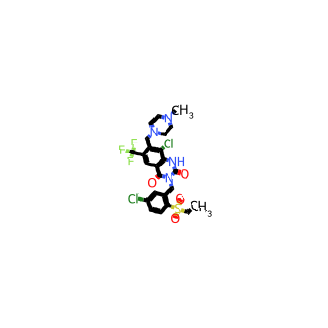 CCS(=O)(=O)c1ccc(Cl)cc1Cn1c(=O)[nH]c2c(Cl)c(CN3CCN(C)CC3)c(C(F)(F)F)cc2c1=O